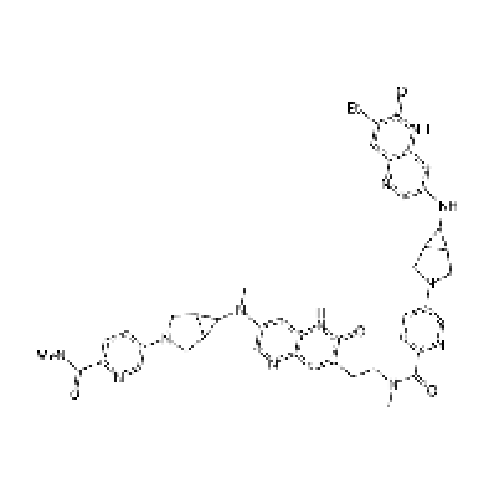 CCc1cc2ncc(NC3C4CN(c5ccc(C(=O)N(C)CCc6cc7ncc(N(C)C8C9CN(c%10ccc(C(=O)NC)nc%10)CC98)cc7[nH]c6=O)nc5)CC43)cc2[nH]c1=O